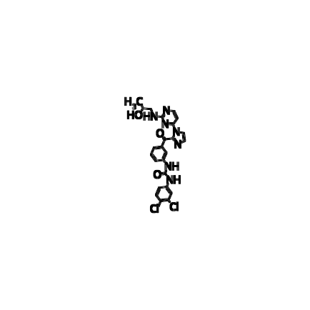 CC(O)CNc1nccc(-n2ccnc2C(=O)c2cccc(NC(=O)Nc3ccc(Cl)c(Cl)c3)c2)n1